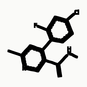 C=C(NC)c1cnc(C)cc1-c1ccc(Cl)cc1F